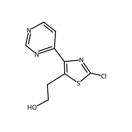 OCCc1sc(Cl)nc1-c1ccncn1